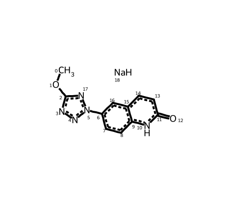 COc1nnn(-c2ccc3[nH]c(=O)ccc3c2)n1.[NaH]